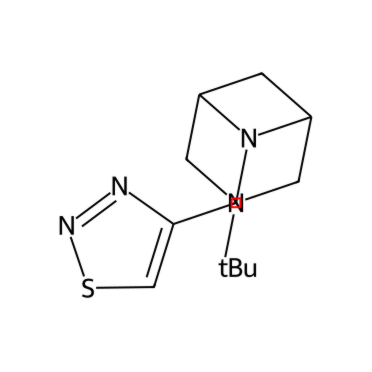 CC(C)(C)N1CC2CC(C1)N2Cc1csnn1